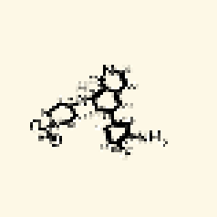 CS(=O)(=O)N1CCC(Nc2cc(-c3ccc(F)c(N)c3)cc3ccncc23)CC1